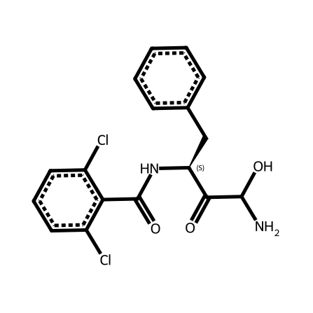 NC(O)C(=O)[C@H](Cc1ccccc1)NC(=O)c1c(Cl)cccc1Cl